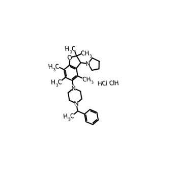 Cc1c(C)c(N2CCN(C(C)c3ccccc3)CC2)c(C)c2c1OC(C)(C)C2N1CCCC1.Cl.Cl